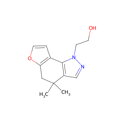 CC1(C)Cc2occc2-c2c1cnn2CCO